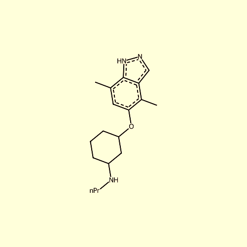 CCCNC1CCCC(Oc2cc(C)c3[nH]ncc3c2C)C1